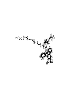 CCCCCCCC/C=C\CCCCCCCC(=O)O[C@H](COC(c1ccccc1)(c1ccccc1)c1ccc(OC(C)C)cc1)COP(=O)([O-])OCC[N+](C)(C)C